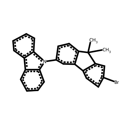 CC1(C)c2ccc(-n3c4ccccc4c4ccccc43)cc2-c2ccc(Br)cc21